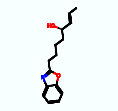 C/C=C/[C@@H](O)CCCCc1nc2ccccc2o1